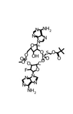 COP1(=O)OCC2O[C@@H](n3cnc4c(N)ncnc43)C(OP(=O)(SCOC(=O)C(C)(C)C)OCC3OC(n4cnc5c(N)ncnc54)C(F)C3O1)C2O